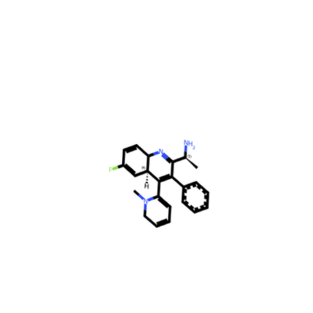 C[C@H](N)C1=NC2C=CC(F)=C[C@@H]2C(C2=CC=CCN2C)=C1c1ccccc1